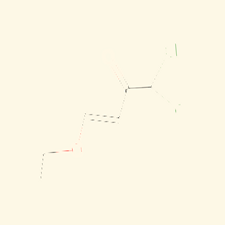 CCO/C=C/C(=O)C(Cl)Cl